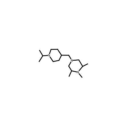 CC(C)N1CCC(CN2CC(C)N(C)C(C)C2)CC1